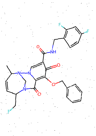 CC1C=CC(CF)N2CN1n1cc(C(=O)NCc3ccc(F)cc3F)c(=O)c(OCc3ccccc3)c1C2=O